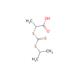 CC(C)SC(=S)SC(C)C(=O)O